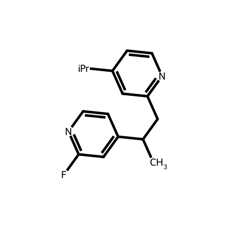 CC(C)c1ccnc(CC(C)c2ccnc(F)c2)c1